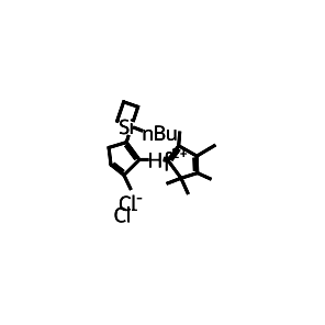 CCCC[Si]1(C2=[C]([Hf+2][C]3=C(C)C(C)=C(C)C3(C)C)C(C)=CC2)CCC1.[Cl-].[Cl-]